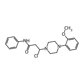 COc1ccccc1N1CCN(C(Cl)CC(=O)Nc2ccccc2)CC1